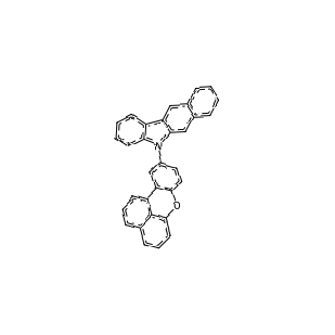 c1ccc2cc3c(cc2c1)c1ccccc1n3-c1ccc2c(c1)-c1cccc3cccc(c13)O2